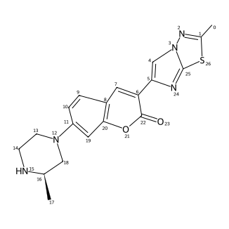 Cc1nn2cc(-c3cc4ccc(N5CCN[C@H](C)C5)cc4oc3=O)nc2s1